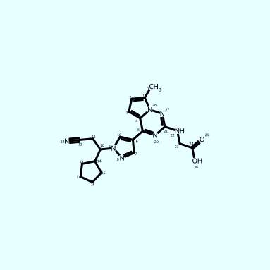 Cc1ccc2c(-c3cnn(C(CC#N)C4CCCC4)c3)nc(NCC(=O)O)nn12